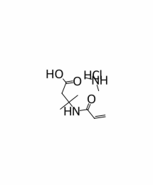 C=CC(=O)NC(C)(C)CC(=O)O.CNC.Cl